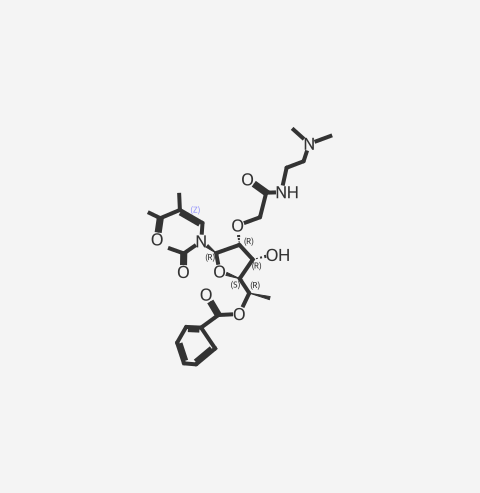 CC(=O)/C(C)=C\N(C(C)=O)[C@@H]1O[C@H]([C@@H](C)OC(=O)c2ccccc2)[C@@H](O)[C@H]1OCC(=O)NCCN(C)C